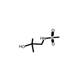 CC(C)(O)CNS(C)(=O)=O